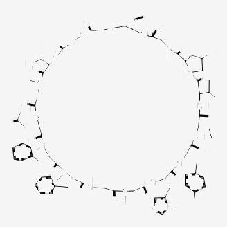 CC[C@@H]1NC(=O)[C@H](Cc2ccc(O)cc2)NC(=O)[C@H](Cc2cnc[nH]2)NC(=O)[C@H](C)N(C)C(=O)[C@H](C)NC(=O)[C@H](Cc2ccccc2)N(C)C(=O)[C@H](Cc2ccccc2)N(C)C(=O)[C@H](CC(=O)O)NC(=O)CN(C)C(=O)C([C@@H](C)O)NC(=O)CNC(=O)CSC[C@@H](C=O)NC(=O)[C@H](C)NC(=O)[C@@H]2CC(O)CN2C(=O)C(C(C)C)NC1=O